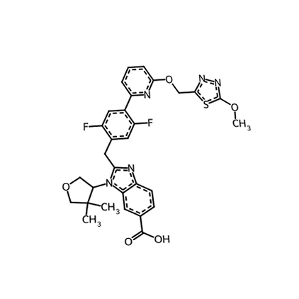 COc1nnc(COc2cccc(-c3cc(F)c(Cc4nc5ccc(C(=O)O)cc5n4C4COCC4(C)C)cc3F)n2)s1